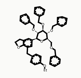 CCOc1ccc(Cc2cc([C@@H]3O[C@H](COCc4ccccc4)[C@@H](OCc4ccccc4)[C@H](OCc4ccccc4)[C@H]3OCc3ccccc3)cc3c2OCC3)cc1